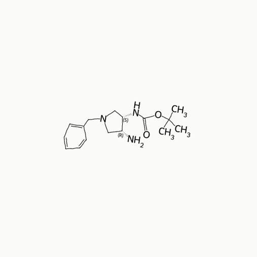 CC(C)(C)OC(=O)N[C@H]1CN(Cc2ccccc2)C[C@H]1N